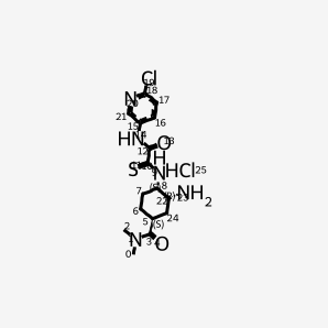 CN(C)C(=O)[C@H]1CC[C@H](NC(=S)C(=O)Nc2ccc(Cl)nc2)[C@H](N)C1.Cl